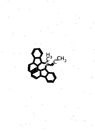 C=C=C[Si](C)(C1C2C=CC=CC2C2C=CC=CC21)C1C2C=CC=CC2C2C=CC=CC21